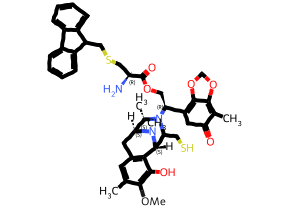 COc1c(C)cc2c(c1O)[C@H]1C(CS)N([C@@H](COC(=O)[C@@H](N)CSCC3c4ccccc4-c4ccccc43)C3=C4OCOC4=C(C)C(=O)C3)[C@@H](C)[C@H](C2)N1C